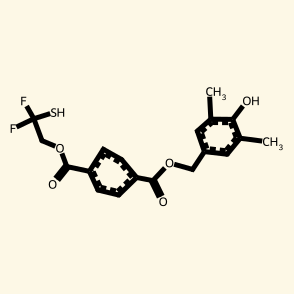 Cc1cc(COC(=O)c2ccc(C(=O)OCC(F)(F)S)cc2)cc(C)c1O